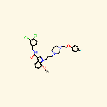 CC(C)Oc1cccc2c(C(=O)NCc3ccc(Cl)c(Cl)c3)cn(CCCN3CCCN(CCOc4ccc(F)cc4)CC3)c12